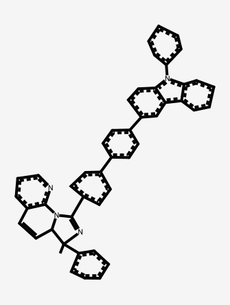 CC1(c2ccccc2)N=C(c2ccc(-c3ccc(-c4ccc5c(c4)c4ccccc4n5-c4ccccc4)cc3)cc2)N2c3ncccc3C=CC21